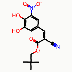 CC(C)(C)COC(=O)C(C#N)=Cc1cc(O)c(O)c([N+](=O)[O-])c1